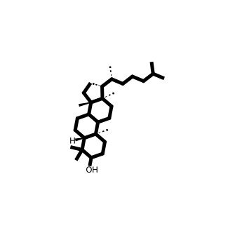 CC(C)CCC[C@@H](C)[C@H]1CC[C@@]2(C)C3CC[C@H]4C(C)(C)C(O)CC[C@]4(C)C3CC[C@]12C